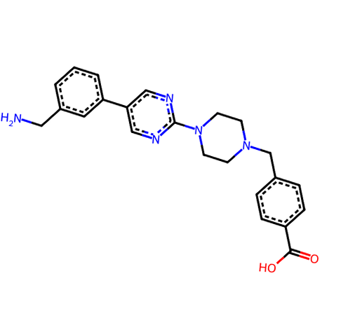 NCc1cccc(-c2cnc(N3CCN(Cc4ccc(C(=O)O)cc4)CC3)nc2)c1